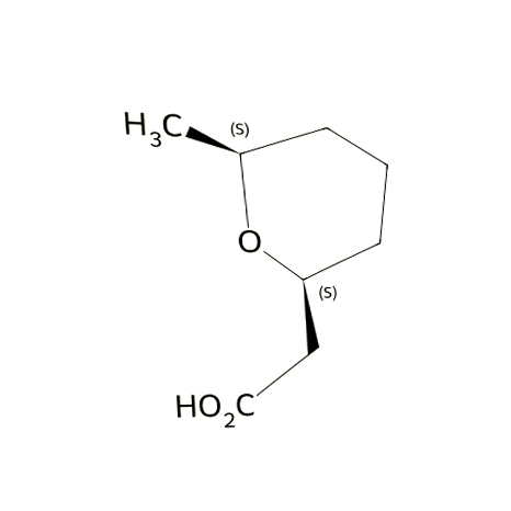 C[C@H]1CCC[C@@H](CC(=O)O)O1